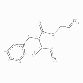 C=CCOC(=O)N(Cc1ccccc1)C(Cl)C=C